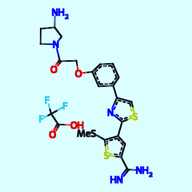 CSc1sc(C(=N)N)cc1-c1nc(-c2cccc(OCC(=O)N3CCC(N)C3)c2)cs1.O=C(O)C(F)(F)F